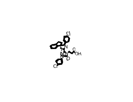 O=C(O)CCn1c(N2C[C@]3(CCc4ccccc43)C(c3ccc(Cl)cc3)=N2)nn(-c2ccc(Cl)cc2)c1=O